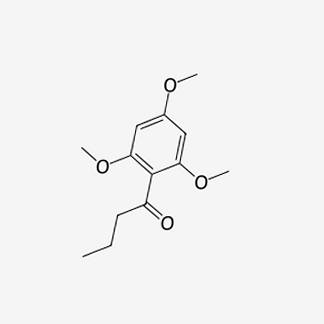 CCCC(=O)c1c(OC)cc(OC)cc1OC